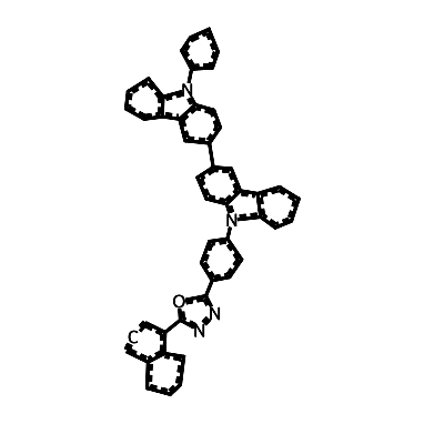 c1ccc(-n2c3ccccc3c3cc(-c4ccc5c(c4)c4ccccc4n5-c4ccc(-c5nnc(-c6cccc7ccccc67)o5)cc4)ccc32)cc1